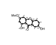 COc1cc(O)c2c(=O)c3cc(O)ccc3oc2c1